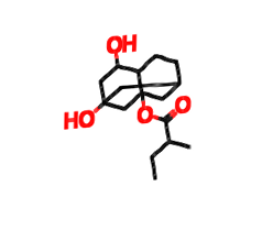 CCC(C)C(=O)OC12CC3CCC1C(O)CC(O)(C3)C2